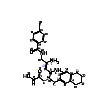 N/C(=C\N(N)[C@@H](CC(=O)NO)Cc1ccc2c(c1)CCCC2)CNC(=O)c1ccc(F)cc1